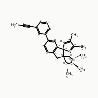 CC#Cc1cncc(-c2ccc3c(c2)[C@@]2(N=C(C)C(N)=N2)[C@@]2(C3)C[C@@H](C)[C@H](C)[C@@H](C)C2)c1